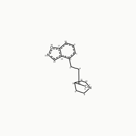 c1cc(CCC2CN3CCC2CC3)c2cnoc2c1